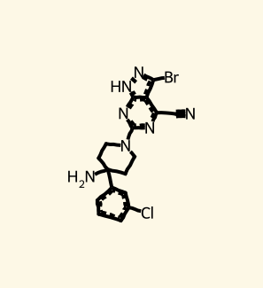 N#Cc1nc(N2CCC(N)(c3cccc(Cl)c3)CC2)nc2[nH]nc(Br)c12